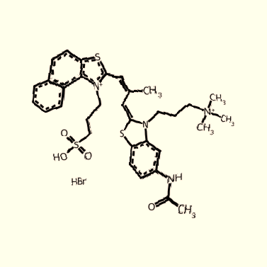 Br.CC(=O)Nc1ccc2c(c1)N(CCC[N+](C)(C)C)C(=CC(C)=Cc1sc3ccc4ccccc4c3[n+]1CCCS(=O)(=O)O)S2